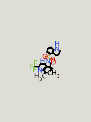 CC(C)c1nc(C(F)(F)F)ccc1C1(C(=O)NS(=O)(=O)c2cccc3c2CCCN3)CC1